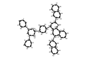 c1ccc(-c2cc(-c3ccccc3)nc(-c3ccc(-c4cc(-c5ccc6ccccc6c5)nc5c4cc(-c4ccc6ccccc6c4)c4ccccc45)cc3)n2)cc1